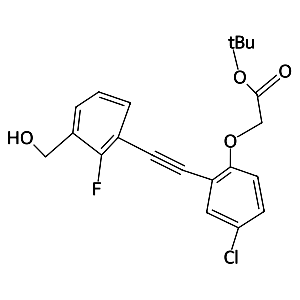 CC(C)(C)OC(=O)COc1ccc(Cl)cc1C#Cc1cccc(CO)c1F